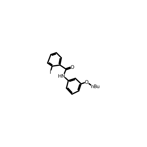 CCCCOc1cccc(NC(=O)c2ccccc2I)c1